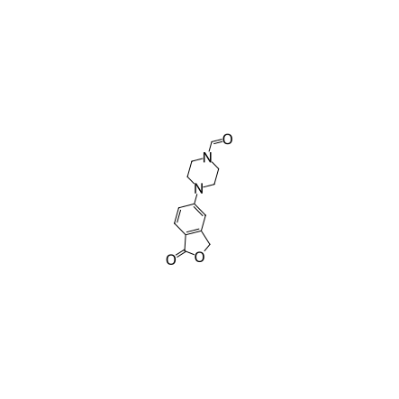 O=CN1CCN(c2ccc3c(c2)COC3=O)CC1